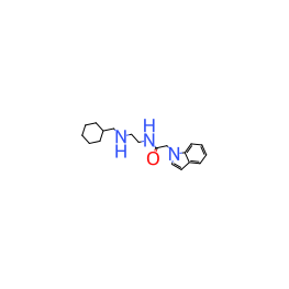 O=C(Cn1ccc2ccccc21)NCCNCC1CCCCC1